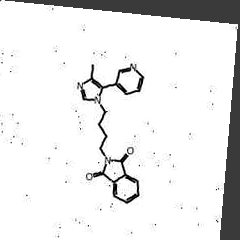 Cc1ncn(CCCCN2C(=O)c3ccccc3C2=O)c1-c1cccnc1